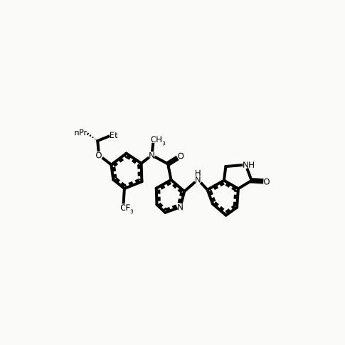 CCC[C@H](CC)Oc1cc(N(C)C(=O)c2cccnc2Nc2cccc3c2CNC3=O)cc(C(F)(F)F)c1